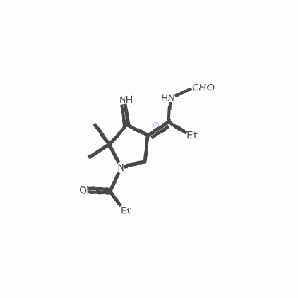 CCC(=O)N1C/C(=C(\CC)NC=O)C(=N)C1(C)C